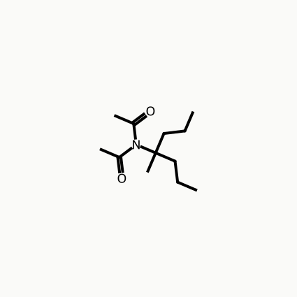 CCCC(C)(CCC)N(C(C)=O)C(C)=O